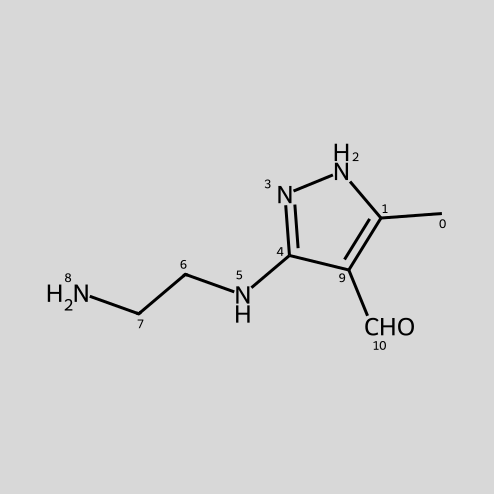 Cc1[nH]nc(NCCN)c1C=O